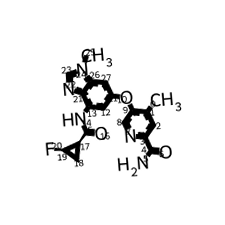 Cc1cc(C(N)=O)ncc1Oc1cc(NC(=O)[C@H]2C[C@H]2F)c2ncn(C)c2c1